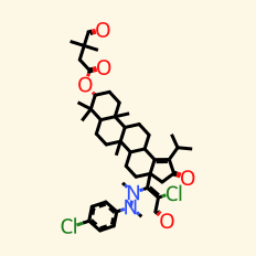 CC(C)C1=C2C3CCC4C(C)(CCC5C(C)(C)C(OC(=O)CC(C)(C)C=O)CCC54C)C3CCC2(/C(=C(\Cl)C=O)N(C)N(C)c2ccc(Cl)cc2)CC1=O